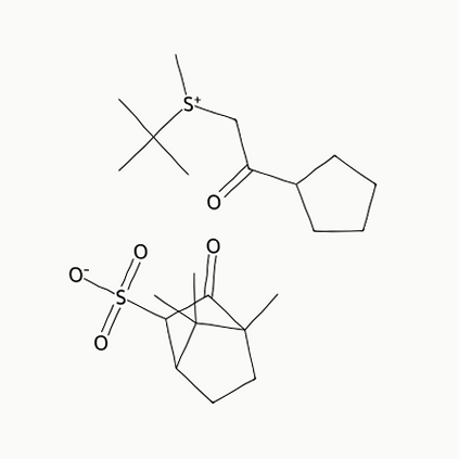 CC12CCC(C(S(=O)(=O)[O-])C1=O)C2(C)C.C[S+](CC(=O)C1CCCC1)C(C)(C)C